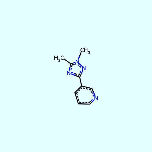 Cc1nc(-c2cccnc2)nn1C